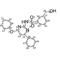 O=S(=O)(Nc1nc(Oc2ccccc2)cc(-c2ccccc2)n1)c1cccc(CO)c1